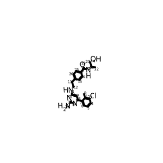 Cc1c(Cl)cccc1-c1cc(NCCc2ccc(C(=O)NC(C)CO)cc2)nc(N)n1